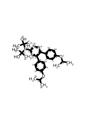 CC(C)Oc1ccc(-c2nnc(N(C(C)(C)O)C(C)(C)O)nc2-c2ccc(OC(C)C)cc2)cc1